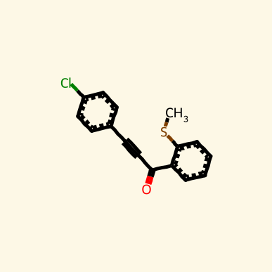 CSc1ccccc1C(=O)C#Cc1ccc(Cl)cc1